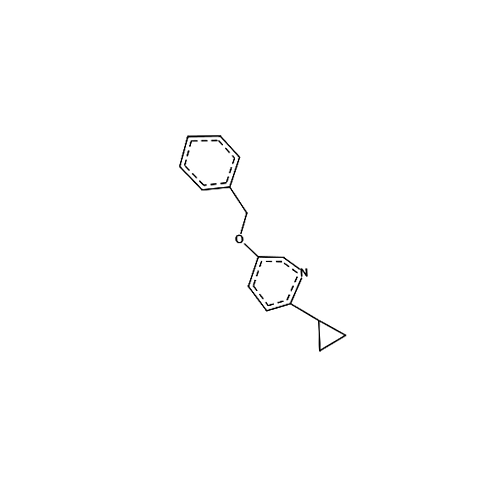 c1ccc(COc2ccc(C3CC3)nc2)cc1